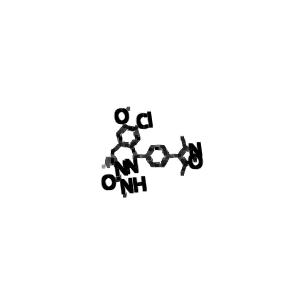 CNC(=O)N1N=C(c2ccc(-c3c(C)noc3C)cc2)c2cc(Cl)c(OC)cc2C[C@H]1C